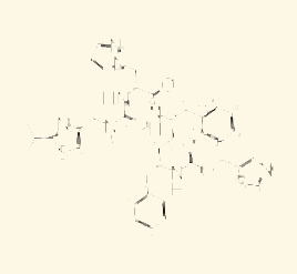 CC(C)c1nc(CN(C)C(=O)N[C@@H](Cn2cccn2)C(=O)N[C@H](CC[C@H](Cc2ccccc2)NC(=O)OCc2cncs2)Cc2ccccc2)cs1